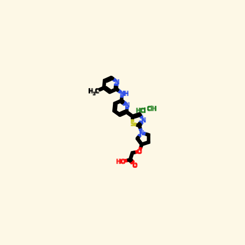 Cc1ccnc(Nc2cccc(-c3cnc(N4CCC(OCC(=O)O)C4)s3)n2)c1.Cl.Cl